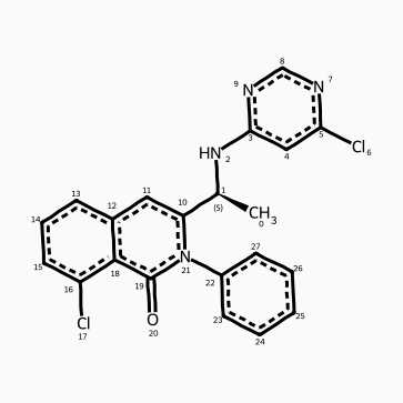 C[C@H](Nc1cc(Cl)ncn1)c1cc2cccc(Cl)c2c(=O)n1-c1ccccc1